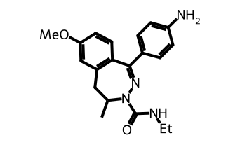 CCNC(=O)N1N=C(c2ccc(N)cc2)c2ccc(OC)cc2CC1C